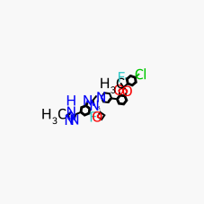 Cc1nnc(-c2cc(F)c3c(c2)nc(CN2CC=C(c4cccc5c4OC(C)(c4ccc(Cl)cc4F)O5)CC2)n3C[C@@H]2CCO2)[nH]1